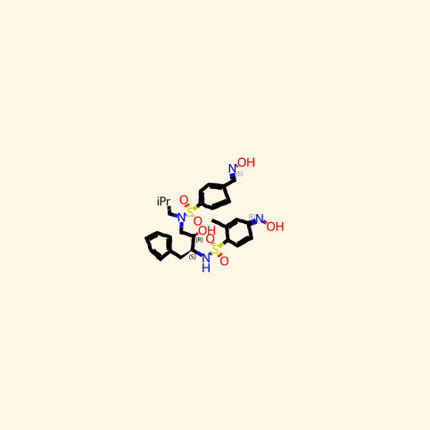 CC1=C/C(=N/O)C=CC1S(=O)(=O)N[C@@H](Cc1ccccc1)[C@H](O)CN(CC(C)C)S(=O)(=O)c1ccc(/C=N/O)cc1